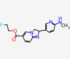 CNc1ccc(C2CN3C=C(C(=O)OCCF)C=CC3=N2)cn1